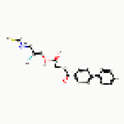 O=C(CCC(=O)c1ccc(-c2ccccc2)cc1)OCC(F)CNC=S